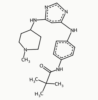 CN1CCC(Nc2cc(Nc3ccc(NC(=O)C(C)(C)C)cc3)ncn2)CC1